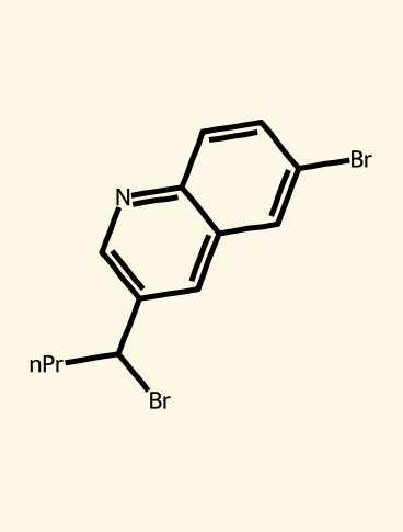 CCCC(Br)c1cnc2ccc(Br)cc2c1